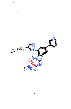 CCNC(=O)Nc1nc2cc(-c3cccnc3)cc(-n3cc(C(=O)OCC)cn3)c2[nH]1